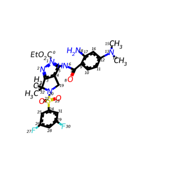 CCOC(=O)n1nc2c(c1NC(=O)c1ccc(N(C)C)cc1N)CN(S(=O)(=O)c1cc(F)cc(F)c1)C2(C)C